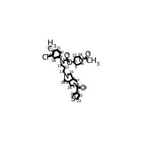 CC(=O)N1CCC(OC(=O)N(CCCN2CC3CN(C(=O)c4ccsc4)CC3C2)c2ccc(C)c(Cl)c2)CC1